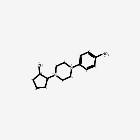 O=[N+]([O-])c1ccc(N2CCN(C3CCCC3O)CC2)cc1